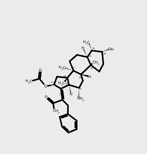 CC(=O)O[C@H]1C[C@@]2(C)[C@H](/C1=C(\Cc1ccccc1)C(C)=O)[C@@H](N)C[C@H]1[C@@]3(C)CC[C@@H](O)[C@@H](C)[C@@H]3CC[C@@]12C